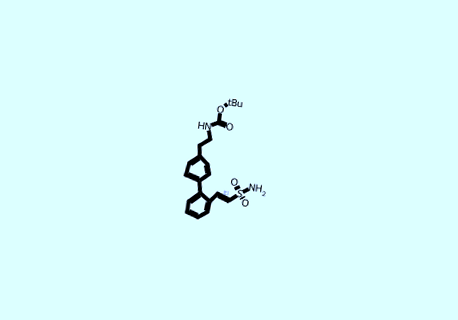 CC(C)(C)OC(=O)NCCc1ccc(-c2ccccc2/C=C/S(N)(=O)=O)cc1